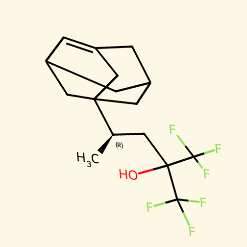 C[C@H](CC(O)(C(F)(F)F)C(F)(F)F)C12CC3=CC(CC(C3)C1)C2